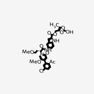 COCC[C@H](C(=O)Nc1ccc2[nH]c(C(=O)OCC3=C(C)OC(O)O3)cc2c1)n1cc(OC)c(-c2cc(Cl)ccc2C(C)=O)cc1=O